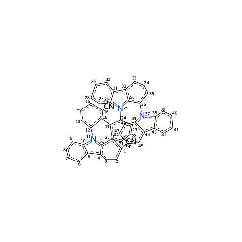 N#Cc1ccc2c3ccccc3n(-c3cccc(C#N)c3-c3ccccc3-n3c4ccccc4c4cccc(-n5c6ccccc6c6ccccc65)c43)c2c1